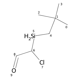 CC(C)(C)C[SiH2]C(Cl)[C]=O